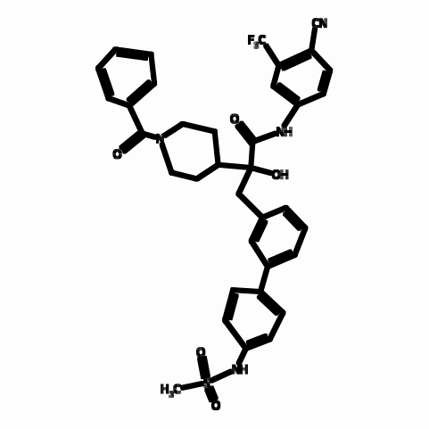 CS(=O)(=O)Nc1ccc(-c2cccc(CC(O)(C(=O)Nc3ccc(C#N)c(C(F)(F)F)c3)C3CCN(C(=O)c4ccccc4)CC3)c2)cc1